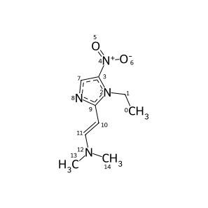 CCn1c([N+](=O)[O-])cnc1/C=C/N(C)C